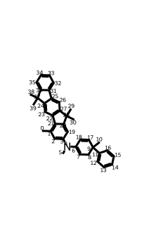 Cc1cc(N(C)C2=CCC(C)(c3ccccc3)C=C2)cc2c1-c1cc3c(cc1C2(C)C)-c1ccccc1C3(C)C